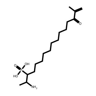 C=C(C)C(=O)CCCCCCCCCCC(C(C)N)P(=O)(O)O